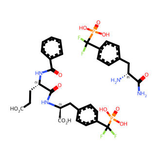 NC(=O)[C@H](N)Cc1ccc(C(F)(F)P(=O)(O)O)cc1.O=C(O)CC[C@H](NC(=O)c1ccccc1)C(=O)N[C@@H](Cc1ccc(C(F)(F)P(=O)(O)O)cc1)C(=O)O